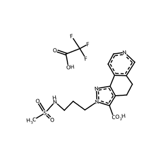 CS(=O)(=O)NCCCn1nc2c(c1C(=O)O)CCc1cnccc1-2.O=C(O)C(F)(F)F